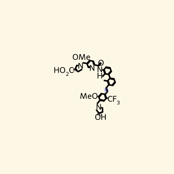 COc1cc(/C=C/c2cccc(-c3cccc(NC(=O)c4cc(OC)c(CN5CC[C@@H](C(=O)O)C5)cn4)c3C)c2C)c(C(F)(F)F)cc1CN1CC[C@@H](O)C1